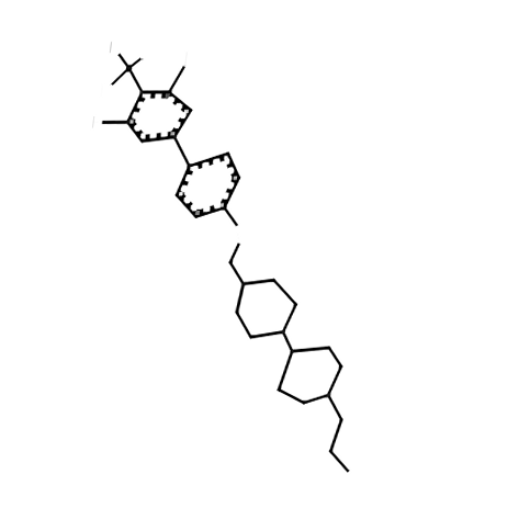 CCCC1CCC(C2CCC(COc3ccc(-c4cc(F)c(C(F)(F)F)c(F)c4)cc3)CC2)CC1